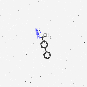 C=C(N=[N+]=[N-])c1ccc(-c2ccccc2)cc1